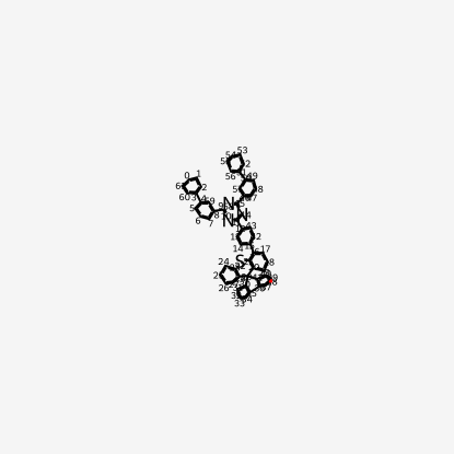 c1ccc(-c2cccc(-c3nc(-c4ccc(-c5cccc6c5Sc5ccccc5C65c6ccccc6-c6ccccc65)cc4)nc(-c4cccc(-c5ccccc5)c4)n3)c2)cc1